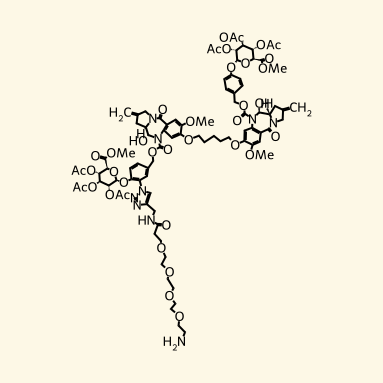 C=C1C[C@H]2[C@H](O)N(C(=O)OCc3ccc(O[C@@H]4O[C@H](C(=O)OC)[C@@H](OC(C)=O)[C@H](OC(C)=O)[C@H]4OC(C)=O)cc3)c3cc(OCCCCCOc4cc5c(cc4OC)C(=O)N4CC(=C)C[C@H]4[C@H](O)N5C(=O)OCc4ccc(O[C@@H]5O[C@H](C(=O)OC)[C@@H](OC(C)=O)[C@H](OC(C)=O)[C@H]5OC(C)=O)c(-n5cc(CNC(=O)CCOCCOCCOCCOCCN)nn5)c4)c(OC)cc3C(=O)N2C1